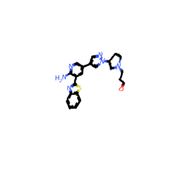 Nc1ncc(-c2cnn(C3CCN(CCC=O)C3)c2)cc1-c1nc2ccccc2s1